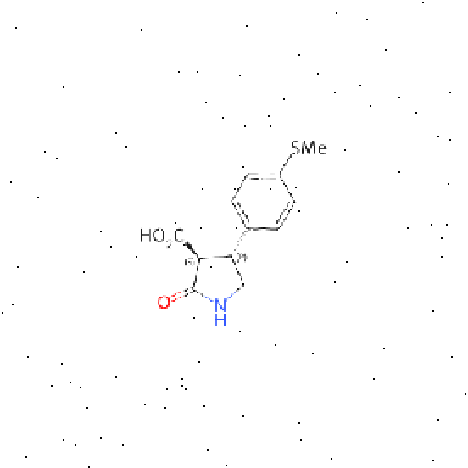 CSc1ccc([C@@H]2CNC(=O)[C@H]2C(=O)O)cc1